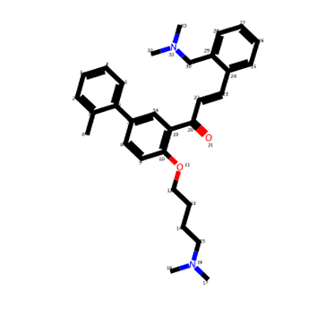 Cc1ccccc1-c1ccc(OCCCCN(C)C)c(C(=O)C=Cc2ccccc2CN(C)C)c1